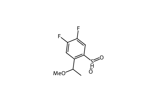 COC(C)c1cc(F)c(F)cc1[SH](=O)=O